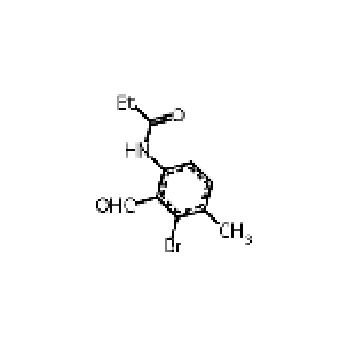 CCC(=O)Nc1ccc(C)c(Br)c1C=O